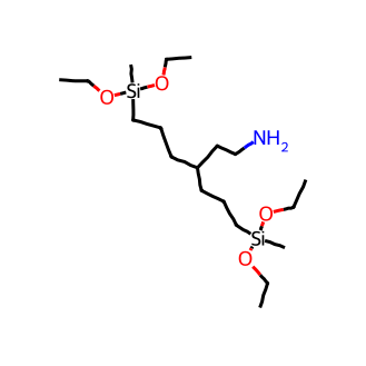 CCO[Si](C)(CCCC(CCN)CCC[Si](C)(OCC)OCC)OCC